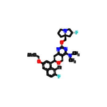 CCc1c(F)ccc2cc(OCOC)cc(C3Cc4nc(OC[C@@]56CCCN5C[C@H](F)C6)nc(N(C)C)c4CO3)c12